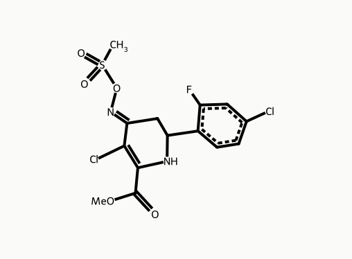 COC(=O)C1=C(Cl)C(=NOS(C)(=O)=O)CC(c2ccc(Cl)cc2F)N1